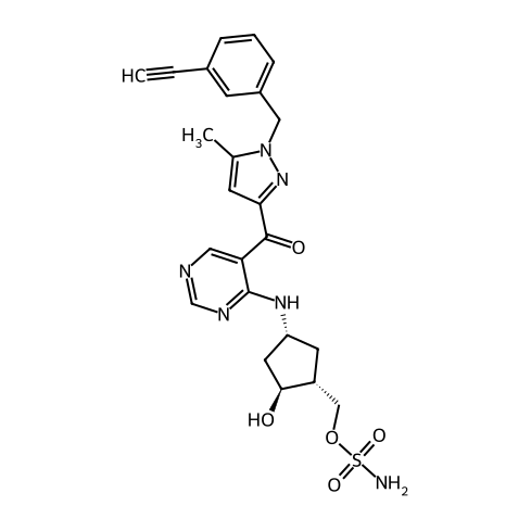 C#Cc1cccc(Cn2nc(C(=O)c3cncnc3N[C@@H]3C[C@H](COS(N)(=O)=O)[C@@H](O)C3)cc2C)c1